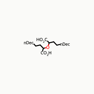 CCCCCCCCCCCCC(OC(CCCCCCCCCCCC)C(=O)O)C(=O)O